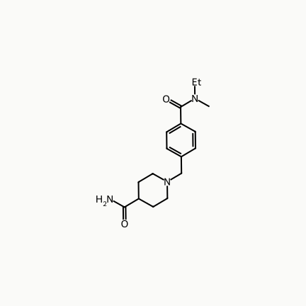 [CH2]CN(C)C(=O)c1ccc(CN2CCC(C(N)=O)CC2)cc1